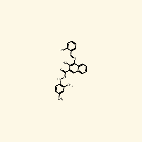 Cc1ccc(NOC(=O)c2cc3ccccc3c(N=Nc3ccccc3O)c2O)c(C)c1